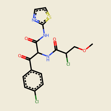 COCC(Cl)C(=O)NC(C(=O)Nc1nccs1)C(=O)c1ccc(Cl)cc1